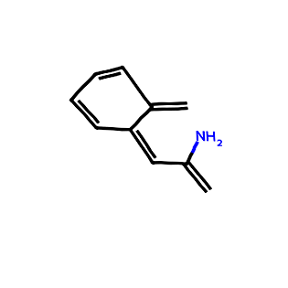 C=C(N)/C=c1/ccccc1=C